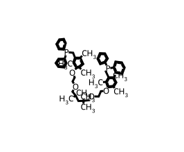 Cc1cc(C)c(OCCOCC(C)(C)CC(C)(C)COCCOc2c(C)cc(C)c(CP(c3ccccc3)c3ccccc3)c2C)c(C)c1CP(c1ccccc1)c1ccccc1